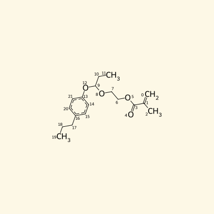 C=C(C)C(=O)OCCOC(CC)Oc1ccc(CCC)cc1